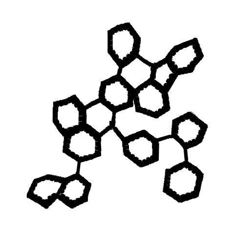 c1ccc(-c2ccccc2-c2cccc(N(c3cccc(-c4cccc5ccccc45)c3)c3ccc(-c4ccccc4-n4c5ccccc5c5ccccc54)cc3-c3ccccc3)c2)cc1